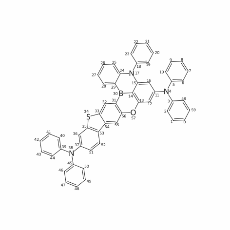 c1ccc(N(c2ccccc2)c2cc3c4c(c2)N(c2ccccc2)c2ccccc2B4c2cc4sc5cc(N(c6ccccc6)c6ccccc6)ccc5c4cc2O3)cc1